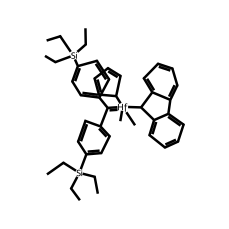 CC[Si](CC)(CC)c1ccc([C](c2ccc([Si](CC)(CC)CC)cc2)=[Hf]([CH3])([CH3])([CH]2C=CC=C2)[CH]2c3ccccc3-c3ccccc32)cc1